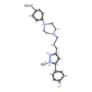 COc1ccc(N2CCN(CCCc3cc(-c4ccc(F)cc4)n(C(C)(C)C)n3)CC2)cc1